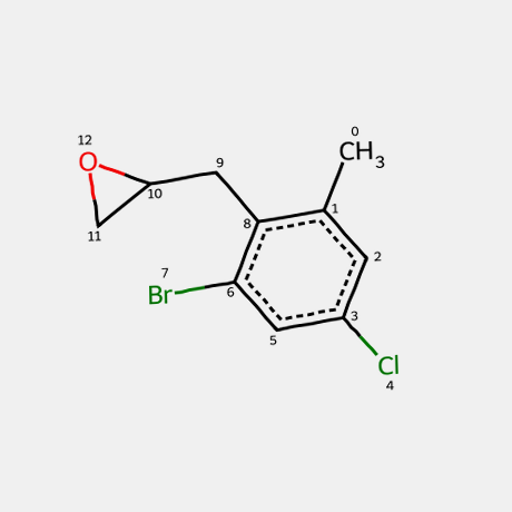 Cc1cc(Cl)cc(Br)c1CC1CO1